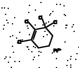 ClC1=C(Cl)C(Cl)(Cl)CCC1.[Pt+2]